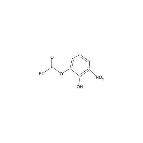 CCC(=O)Oc1cccc([N+](=O)[O-])c1O